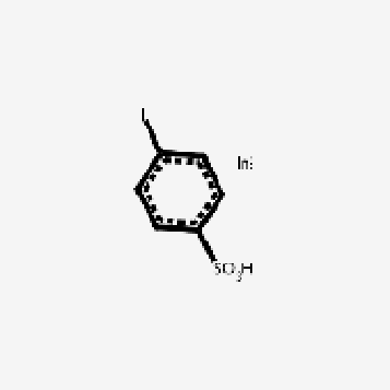 O=S(=O)(O)c1ccc(I)cc1.[In]